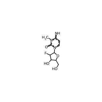 Cn1c(=N)ccn(C2OC(CO)C(O)C2F)c1=O